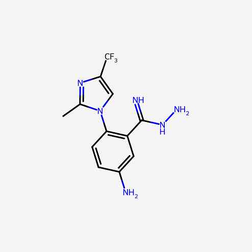 Cc1nc(C(F)(F)F)cn1-c1ccc(N)cc1C(=N)NN